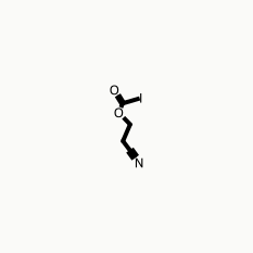 N#CCCOC(=O)I